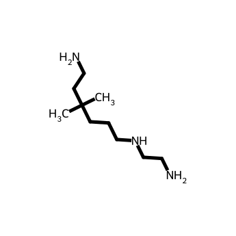 CC(C)(CCN)CCCNCCN